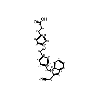 N#CCc1cc2ccccc2n1Cc1ccc(COc2ccc(CCC(=O)O)cc2)cc1